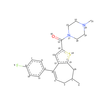 CC1CC=C(c2ccc(F)cc2)c2cc(C(=O)N3CCN(C)CC3)sc2C1